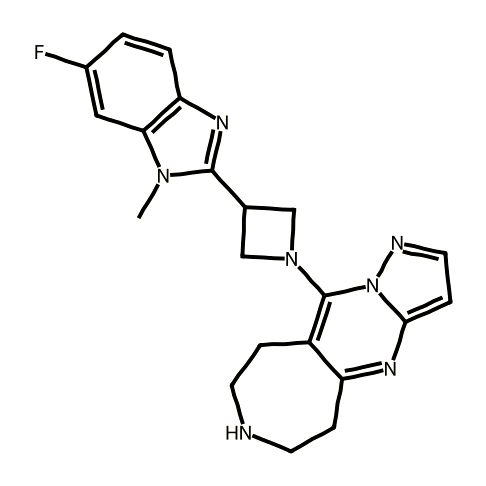 Cn1c(C2CN(c3c4c(nc5ccnn35)CCNCC4)C2)nc2ccc(F)cc21